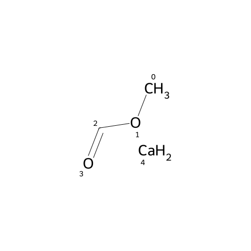 COC=O.[CaH2]